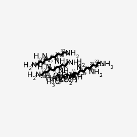 CC(=O)O.CC(=O)O.CC(=O)O.CC(=O)O.NCCCC(N)CCC(N)CCCN.NCCCC(N)CCC(N)CCCN.NCCCC(N)CCC(N)CCCN